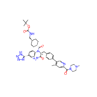 Cc1cc(C(=O)N2CCN(C)CC2)ncc1-c1ccc(C[C@@H](C(N)=O)N(c2ccc(-c3nnn[nH]3)cc2)C(=O)[C@H]2CC[C@H](CNC(=O)OC(C)(C)C)CC2)cc1